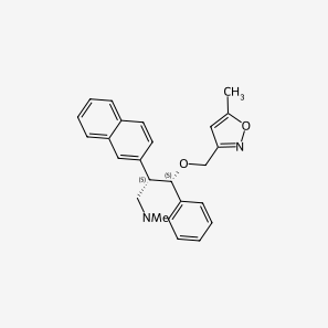 CNC[C@H](c1ccc2ccccc2c1)[C@H](OCc1cc(C)on1)c1ccccc1